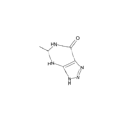 CC1NC(=O)c2nn[nH]c2N1